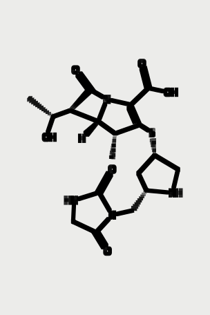 C[C@@H](O)[C@H]1C(=O)N2C(C(=O)O)=C(S[C@@H]3CN[C@H](CN4C(=O)CNC4=O)C3)[C@H](C)[C@H]12